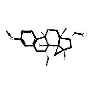 CC[C@@H]1Cc2cc(OC)ccc2[C@H]2CC[C@]3(C)[C@H](CO)C[C@@H]4C[C@]43[C@H]12